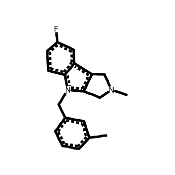 Cc1cccc(Cn2c3c(c4cc(F)ccc42)CN(C)C3)c1